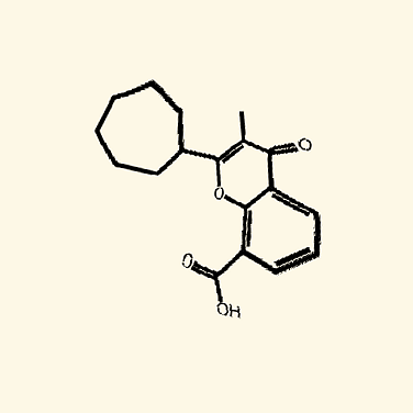 Cc1c(C2CCCCCC2)oc2c(C(=O)O)cccc2c1=O